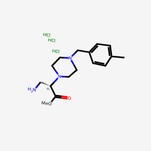 COC(=O)[C@H](CN)N1CCN(Cc2ccc(C)cc2)CC1.Cl.Cl.Cl